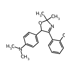 CN(C)c1ccc(C2OC(C)(C)N=C2c2ccccc2Cl)cc1